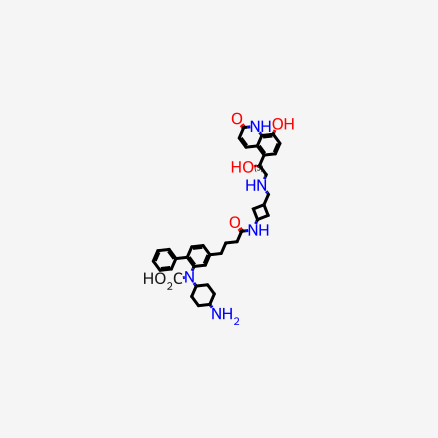 NC1CCC(N(C(=O)O)c2cc(CCCC(=O)NC3CC(CNC[C@@H](O)c4ccc(O)c5[nH]c(=O)ccc45)C3)ccc2-c2ccccc2)CC1